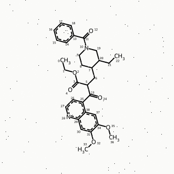 CCOC(=O)C(CC1CCN(C(=O)c2ccccc2)CC1CC)C(=O)c1ccnc2cc(OC)c(OC)cc12